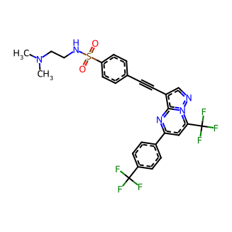 CN(C)CCNS(=O)(=O)c1ccc(C#Cc2cnn3c(C(F)(F)F)cc(-c4ccc(C(F)(F)F)cc4)nc23)cc1